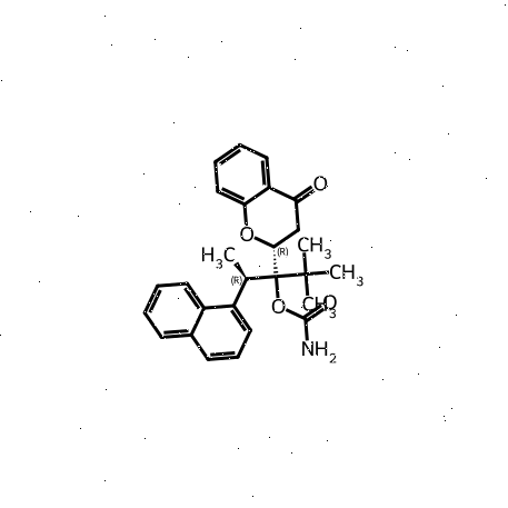 C[C@H](c1cccc2ccccc12)C(OC(N)=O)([C@H]1CC(=O)c2ccccc2O1)C(C)(C)C